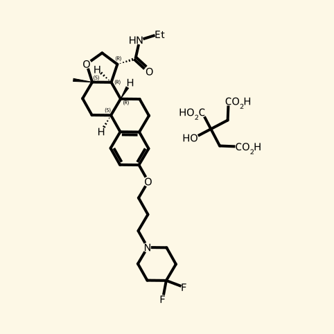 CCNC(=O)[C@H]1CO[C@@]2(C)CC[C@@H]3c4ccc(OCCCN5CCC(F)(F)CC5)cc4CC[C@H]3[C@H]12.O=C(O)CC(O)(CC(=O)O)C(=O)O